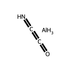 N=C=C=O.[AlH3]